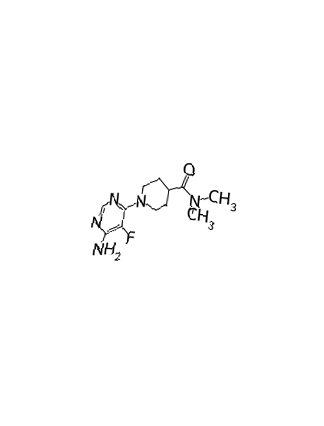 CN(C)C(=O)C1CCN(c2ncnc(N)c2F)CC1